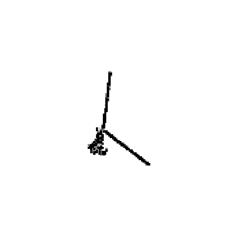 C#CC#CC#CC#CC#CC#CC#CC#CC#CC#CC#CN(C#CC#CC#CC#CC#CC#CC#CC#CC#CC#CC#C)C(=O)c1ccc(S(=O)(=O)OCC2(Cn3ccnc3[N+](=O)[O-])COC(C)(C)OC2)cc1